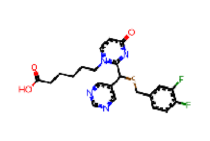 O=C(O)CCCCCn1ccc(=O)nc1C(SCc1ccc(F)c(F)c1)c1cncnc1